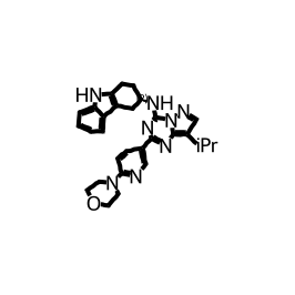 CC(C)c1cnn2c(N[C@@H]3CCc4[nH]c5ccccc5c4C3)nc(-c3ccc(N4CCOCC4)nc3)nc12